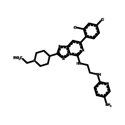 CCOC(=O)CN1CCC(c2nc3cc(-c4ccc(Cl)cc4Cl)nc(NCCNc4ccc(N)cn4)n3n2)CC1